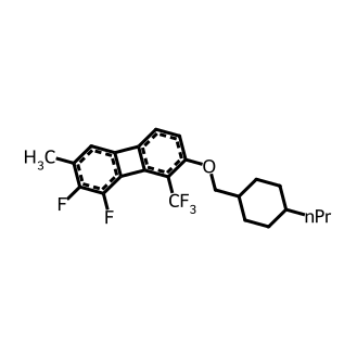 CCCC1CCC(COc2ccc3c(c2C(F)(F)F)-c2c-3cc(C)c(F)c2F)CC1